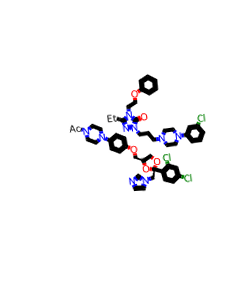 CC(=O)N1CCN(c2ccc(OC[C@H]3CO[C@](Cn4ccnc4)(c4ccc(Cl)cc4Cl)O3)cc2)CC1.CCc1nn(CCCN2CCN(c3cccc(Cl)c3)CC2)c(=O)n1CCOc1ccccc1